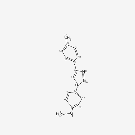 COc1ccc(-n2cc(-c3ccc(C)cc3)nn2)cc1